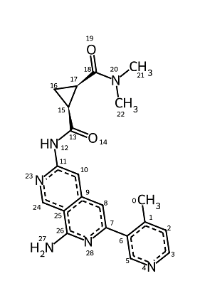 Cc1ccncc1-c1cc2cc(NC(=O)[C@H]3C[C@H]3C(=O)N(C)C)ncc2c(N)n1